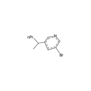 CCCC(C)c1cncc(Br)c1